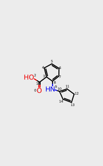 O=C(O)c1ccccc1NC1=CCC=C1